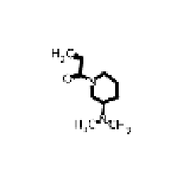 C=CC(=O)N1CCC[C@@H](N(C)C)C1